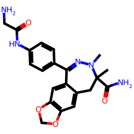 CN1N=C(c2ccc(NC(=O)CN)cc2)c2cc3c(cc2CC1(C)C(N)=O)OCO3